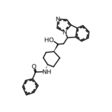 O=C(N[C@H]1CC[C@H](C(O)CC2c3ccccc3-c3cncn32)CC1)c1ccccc1